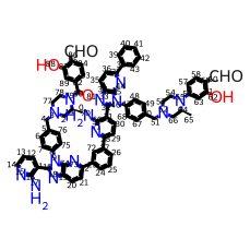 C[C@H]1CN(Cc2ccc(-n3c(-c4cccnc4N)nc4ccc(-c5cccc(-c6ccc(-c7nc8ccc(-c9ccccc9)nc8n7-c7ccc(CN8CCN(c9ccc(C=O)c(O)c9)[C@@H](C)C8)cc7)c(N)n6)c5)nc43)cc2)CCN1C(=O)c1ccc(C=O)c(O)c1